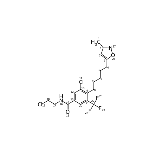 Cc1cc(CCCCCc2c(Cl)cc(C(=O)NCCCl)cc2C(F)(F)F)on1